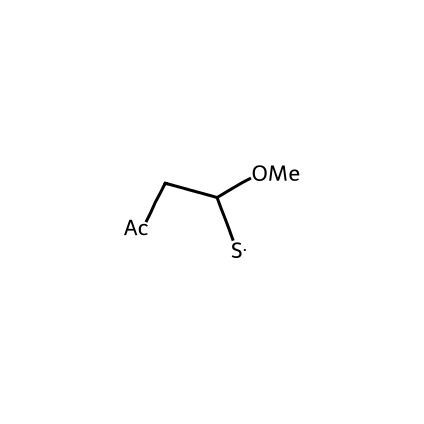 COC([S])CC(C)=O